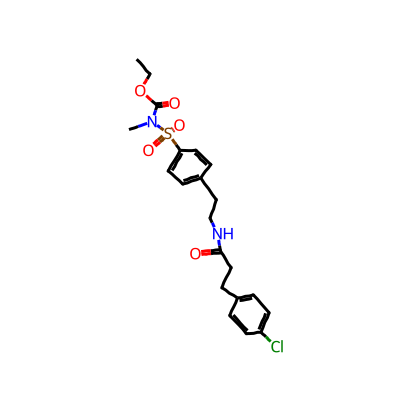 CCOC(=O)N(C)S(=O)(=O)c1ccc(CCNC(=O)CCc2ccc(Cl)cc2)cc1